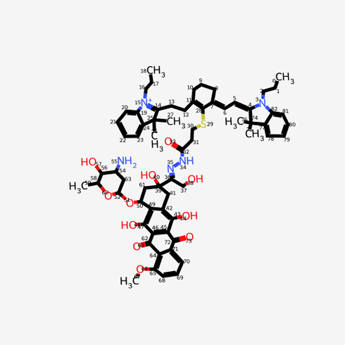 CCCN1/C(=C/C=C2\CCCC(CCC3=[N+](CCC)c4ccccc4C3(C)C)=C2SCCC(=O)N/N=C(\CO)C2(O)Cc3c(O)c4c(c(O)c3C(OC3CC(N)C(O)C(C)O3)C2)C(=O)c2c(OC)cccc2C4=O)C(C)(C)c2ccccc21